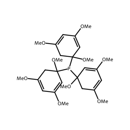 COC1=CC(OC)(P(C2(OC)C=C(OC)C=C(OC)C2)C2(OC)C=C(OC)C=C(OC)C2)CC(OC)=C1